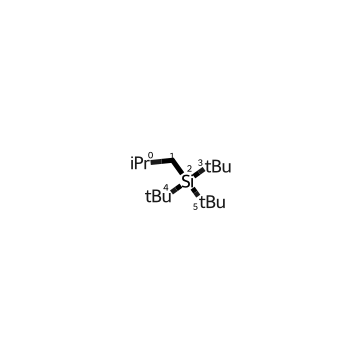 CC(C)C[Si](C(C)(C)C)(C(C)(C)C)C(C)(C)C